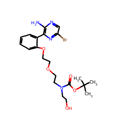 CC(C)(C)OC(=O)N(CCO)CCOCCOc1ccccc1-c1nc(Br)cnc1N